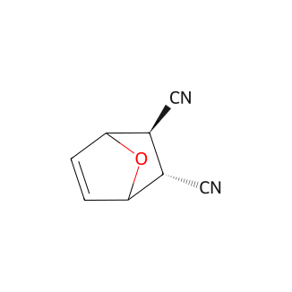 N#C[C@@H]1C2C=CC(O2)[C@H]1C#N